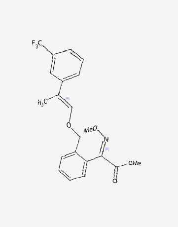 CO/N=C(/C(=O)OC)c1ccccc1CO/C=C(\C)c1cccc(C(F)(F)F)c1